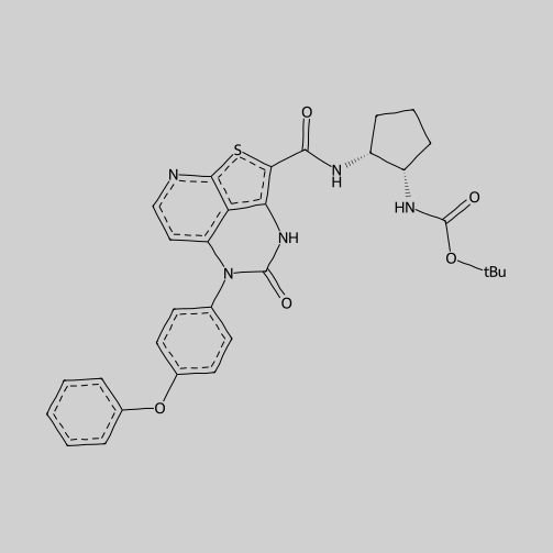 CC(C)(C)OC(=O)N[C@H]1CCC[C@H]1NC(=O)c1sc2nccc3c2c1NC(=O)N3c1ccc(Oc2ccccc2)cc1